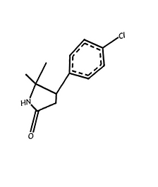 CC1(C)NC(=O)CC1c1ccc(Cl)cc1